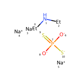 CCNCC.[Na+].[Na+].[Na+].[O-]P([O-])(=S)[S-]